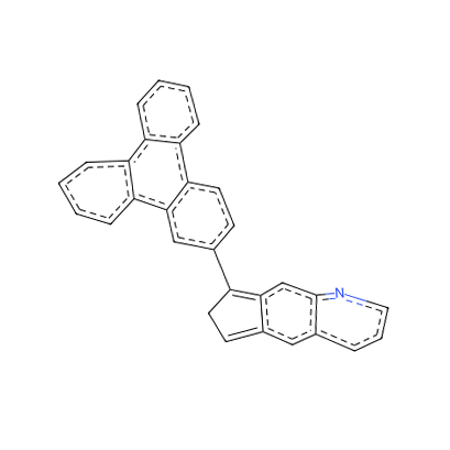 C1=c2cc3cccnc3cc2=C(c2ccc3c4ccccc4c4ccccc4c3c2)C1